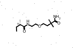 CC[C@H](C)C(=O)NCCOCCC(C)(C)C(N)=O